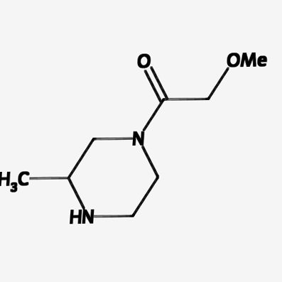 COCC(=O)N1CCNC(C)C1